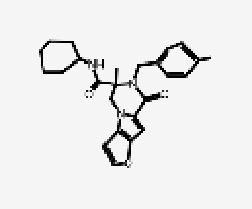 Cc1ccc(CN2C(=O)c3cc4occc4n3CC2(C)C(=O)NC2CCCCC2)cc1